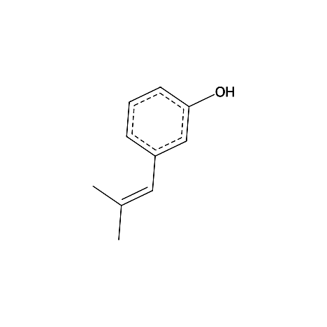 CC(C)=Cc1cccc(O)c1